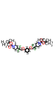 CC(C)(C)OC(=O)N1CCC(C(F)(F)COc2cccc(OCC(F)(F)C3CCN(C(=O)OC(C)(C)C)CC3)c2)CC1